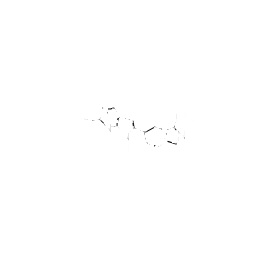 CC(C)c1ncc2cc(-c3ccc4cnc(C(C)(C)C)n4c3)[nH]c2n1